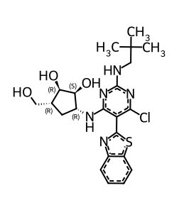 CC(C)(C)CNc1nc(Cl)c(-c2nc3ccccc3s2)c(N[C@@H]2C[C@H](CO)[C@@H](O)[C@H]2O)n1